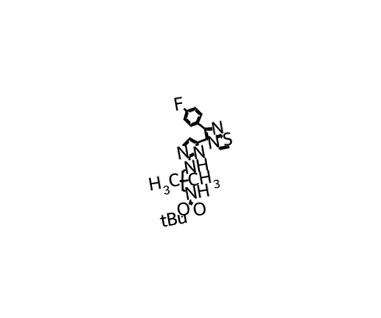 CC(C)(CNC(=O)OC(C)(C)C)CNc1nccc(-c2c(-c3ccc(F)cc3)nc3sccn23)n1